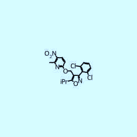 Cc1nc(OCc2c(-c3c(Cl)cccc3Cl)noc2C(C)C)ccc1[N+](=O)[O-]